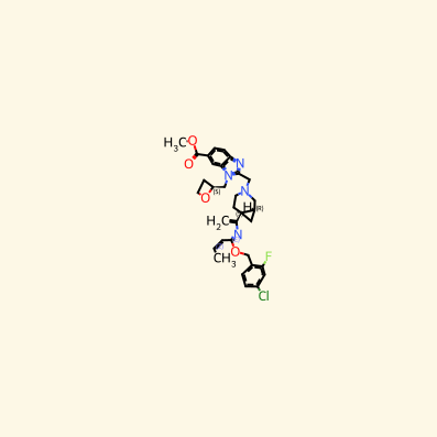 C=C(/N=C(\C=C/C)OCc1ccc(Cl)cc1F)[C@@]12CCN(Cc3nc4ccc(C(=O)OC)cc4n3C[C@@H]3CCO3)C[C@@H]1C2